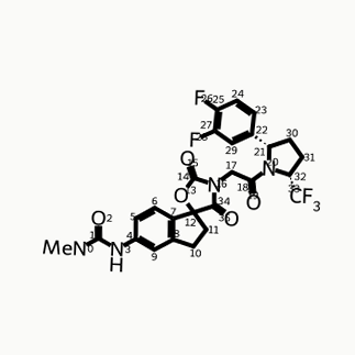 CNC(=O)Nc1ccc2c(c1)CCC21OC(=O)N(CC(=O)N2[C@H](c3ccc(F)c(F)c3)CC[C@@H]2C(F)(F)F)C1=O